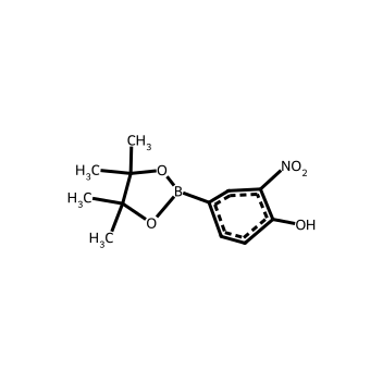 CC1(C)OB(c2ccc(O)c([N+](=O)[O-])c2)OC1(C)C